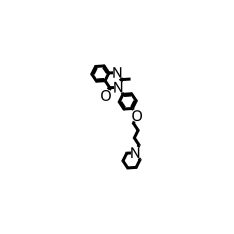 Cc1nc2ccccc2c(=O)n1-c1ccc(OCCCCN2CCCCC2)cc1